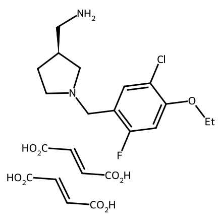 CCOc1cc(F)c(CN2CC[C@@H](CN)C2)cc1Cl.O=C(O)/C=C/C(=O)O.O=C(O)/C=C/C(=O)O